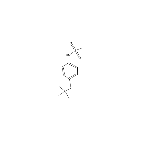 CC(C)(C)Cc1ccc(NS(C)(=O)=O)cc1